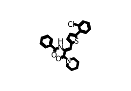 O=C(NC(=Cc1ccc(-c2ccccc2Cl)s1)C(=O)N1CCCCC1)c1ccccc1